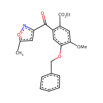 CCOC(=O)c1cc(OC)c(OCc2ccccc2)cc1C(=O)c1cc(C)on1